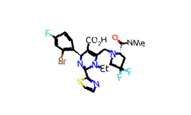 CCN1C(c2nccs2)=N[C@@H](c2ccc(F)cc2Br)C(C(=O)O)=C1CN1CC(F)(F)C[C@H]1C(=O)NC